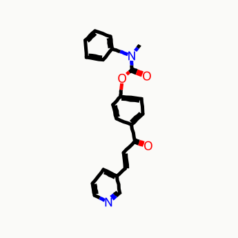 CN(C(=O)Oc1ccc(C(=O)C=Cc2cccnc2)cc1)c1ccccc1